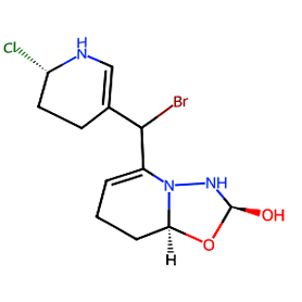 O[C@@H]1NN2C(C(Br)C3=CN[C@@H](Cl)CC3)=CCC[C@@H]2O1